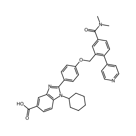 CN(C)C(=O)c1ccc(-c2ccncc2)c(COc2ccc(-c3nc4cc(C(=O)O)ccc4n3C3CCCCC3)cc2)c1